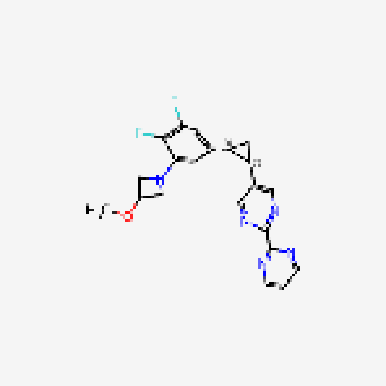 COC1CN(c2cc([C@@H]3C[C@H]3c3cnc(-c4ncccn4)nc3)cc(F)c2F)C1